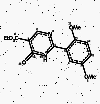 CCOC(=O)c1cnc(-c2cc(OC)ccc2OC)[nH]c1=O